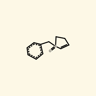 O=P1(Cc2ccccc2)C=CCC1